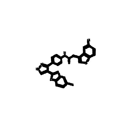 Cc1ccc2oc(-c3c[nH]nc3-c3ccc(NC(=O)Cc4csc5ccc(Cl)cc45)cc3)nc2c1